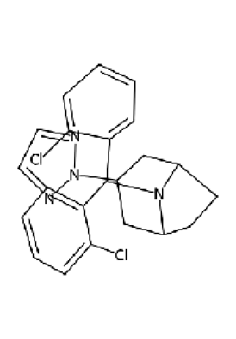 Clc1ccccc1C(c1ccccc1Cl)N1C2CCC1CC(n1nccn1)C2